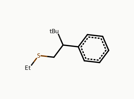 CCSCC(c1ccccc1)C(C)(C)C